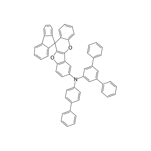 c1ccc(-c2ccc(N(c3cc(-c4ccccc4)cc(-c4ccccc4)c3)c3ccc4oc5c(c4c3)Oc3ccccc3C53c4ccccc4-c4ccccc43)cc2)cc1